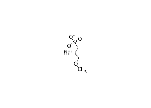 COCCCS(=O)(=O)[O-].[Na+]